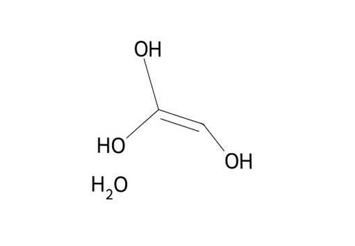 O.OC=C(O)O